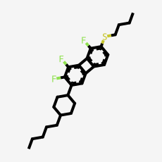 CCCCCC1CCC(c2cc3c(c(F)c2F)-c2c-3ccc(SCCCC)c2F)CC1